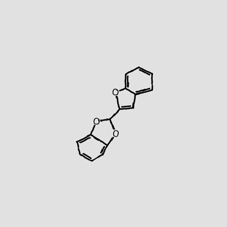 c1ccc2c(c1)O[C](c1cc3ccccc3o1)O2